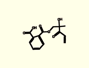 C=CC(=O)C(C)(O)COC(=O)c1ccccc1C(=O)O